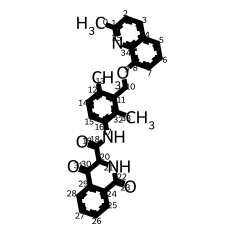 Cc1ccc2cccc(OCc3c(C)ccc(NC(=O)C4NC(=O)c5ccccc5C4=O)c3C)c2n1